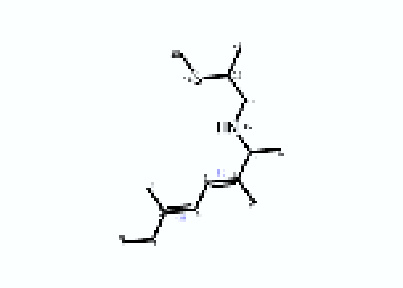 CC/C(C)=C/C=C(\C)C(C)NCC(C)SC